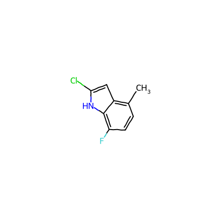 Cc1ccc(F)c2[nH]c(Cl)cc12